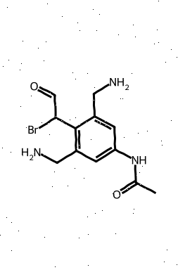 CC(=O)Nc1cc(CN)c(C(Br)C=O)c(CN)c1